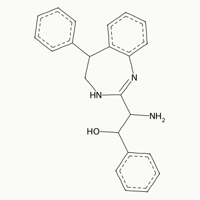 NC(C1=Nc2ccccc2C(c2ccccc2)CN1)C(O)c1ccccc1